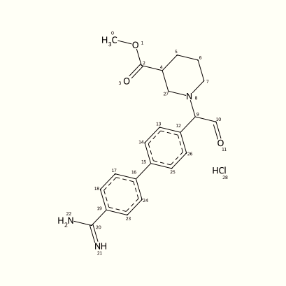 COC(=O)C1CCCN(C(C=O)c2ccc(-c3ccc(C(=N)N)cc3)cc2)C1.Cl